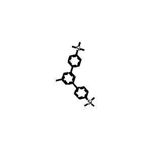 Cc1cc(-c2ccc([Si](C)(C)C)cc2)cc(-c2ccc([Si](C)(C)C)cc2)c1